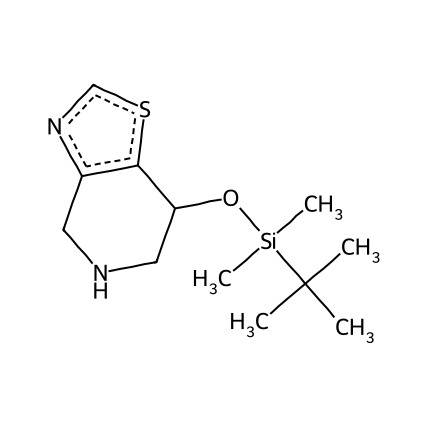 CC(C)(C)[Si](C)(C)OC1CNCc2ncsc21